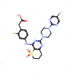 O=C(O)Cc1ccc(Nc2nc(N3CCN(c4ncc(Cl)cn4)CC3)nc3c2S(=O)(=O)CCC3)cc1F